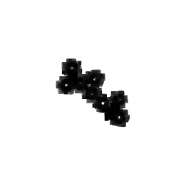 c1ccc(-n2c(-c3ccc(-c4ccc5c(c4)c4ccccc4c4cc6c(cc54)c4ccccc4n6-c4ccccc4)cc3)nc3ccccc32)cc1